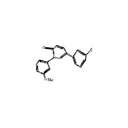 CC(=O)Nc1cccc(-n2cc(-c3cccc(Cl)c3)ccc2=O)c1